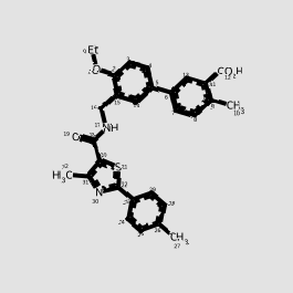 CCOc1ccc(-c2ccc(C)c(C(=O)O)c2)cc1CNC(=O)c1sc(-c2ccc(C)cc2)nc1C